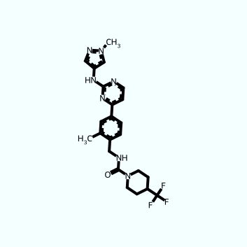 Cc1cc(-c2ccnc(Nc3cnn(C)c3)n2)ccc1CNC(=O)N1CCC(C(F)(F)F)CC1